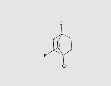 OC12C=C(F)C(O)(CC1)CC2